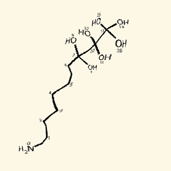 NCCCCCCC(O)(O)C(O)(O)C(O)(O)O